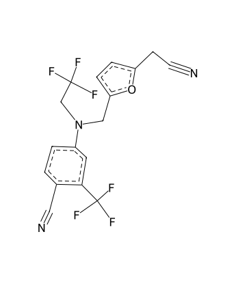 N#CCc1ccc(CN(CC(F)(F)F)c2ccc(C#N)c(C(F)(F)F)c2)o1